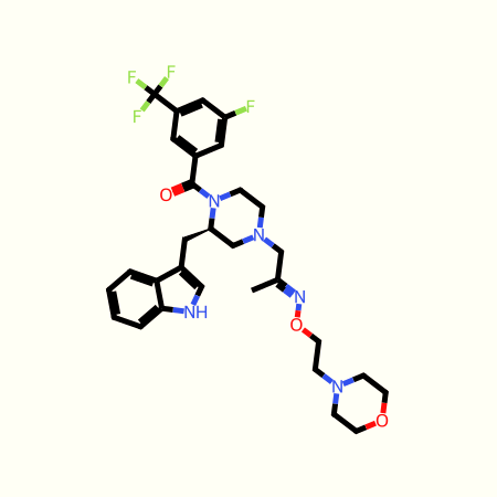 C/C(CN1CCN(C(=O)c2cc(F)cc(C(F)(F)F)c2)[C@H](Cc2c[nH]c3ccccc23)C1)=N\OCCN1CCOCC1